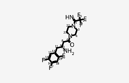 N=C(N1CCN(C(=O)C[C@H](N)Cc2cc(F)c(F)cc2F)CC1)C(F)(F)F